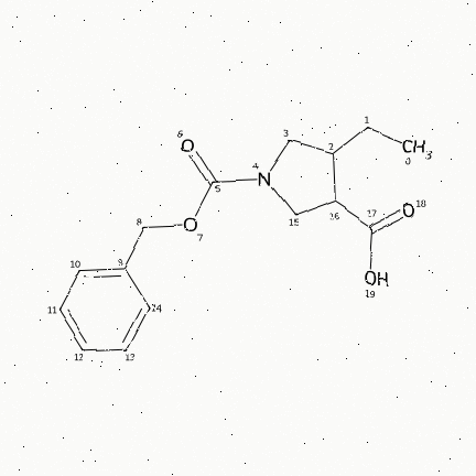 CCC1CN(C(=O)OCc2ccccc2)CC1C(=O)O